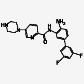 Nc1ccc(-c2cc(F)cc(F)c2)cc1NC(=O)c1ccc(N2CCNCC2)cn1